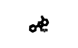 CCOC(=O)c1c(N2C=CCCC2)sc2c1CCCC2=O